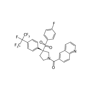 O=C(c1ccc2ncccc2c1)N1CC[C@](c2ccc(C(F)(C(F)(F)F)C(F)(F)F)cc2)(S(=O)(=O)c2ccc(F)cc2)C1